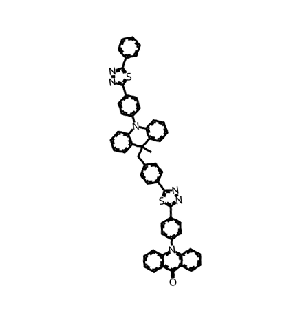 CC1(Cc2ccc(-c3nnc(-c4ccc(-n5c6ccccc6c(=O)c6ccccc65)cc4)s3)cc2)c2ccccc2N(c2ccc(-c3nnc(-c4ccccc4)s3)cc2)c2ccccc21